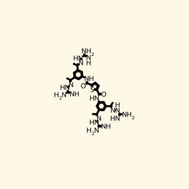 C/C(=N\NC(=N)N)c1cc(NC(=O)c2ccc(C(=O)Nc3cc(/C(C)=N/NC(=N)N)cc(/C(C)=N/NC(=N)N)c3)s2)cc(/C(C)=N/NC(=N)N)c1